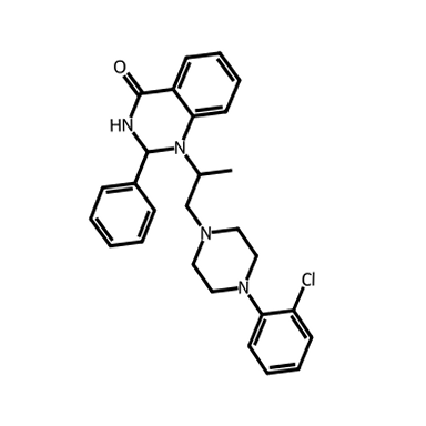 CC(CN1CCN(c2ccccc2Cl)CC1)N1c2ccccc2C(=O)NC1c1ccccc1